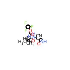 CC1(C)[C@H]2[C@@H](C(=O)N[C@H](C#N)C[C@@H]3CCNC3=O)N(C(=O)COc3c(F)cc(F)cc3F)C[C@@H]21